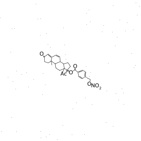 CC(=O)[C@@]1(OC(=O)c2ccc(CO[N+](=O)[O-])cc2)CCC2C3C=CC4=CC(=O)CCC4(C)C3CCC21C